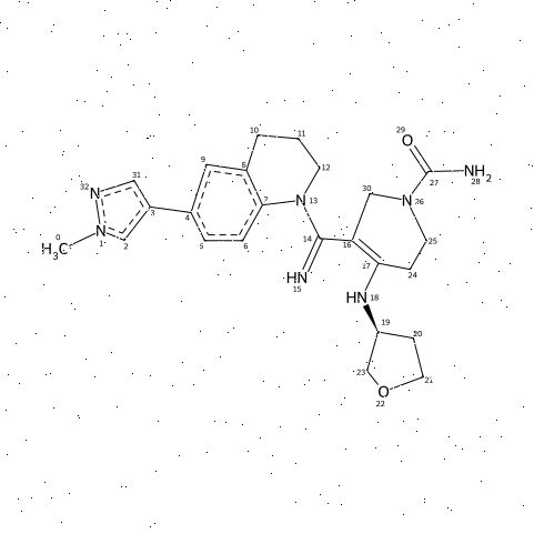 Cn1cc(-c2ccc3c(c2)CCCN3C(=N)C2=C(N[C@H]3CCOC3)CCN(C(N)=O)C2)cn1